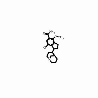 COc1c(C(N)=O)cc(Cl)c2c1CCC2C1CCN2CCCC1C2